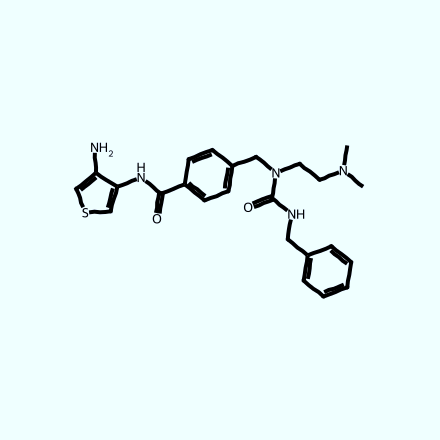 CN(C)CCN(Cc1ccc(C(=O)Nc2cscc2N)cc1)C(=O)NCc1ccccc1